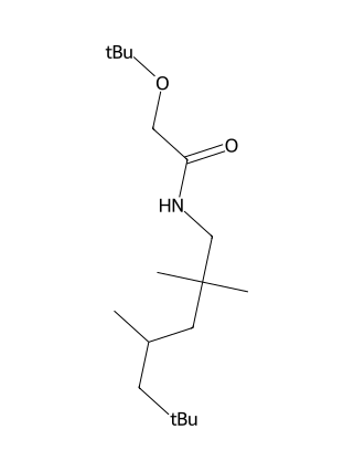 CC(CC(C)(C)C)CC(C)(C)CNC(=O)COC(C)(C)C